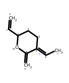 C=CC1CC/C(=C\C)C(=C)O1